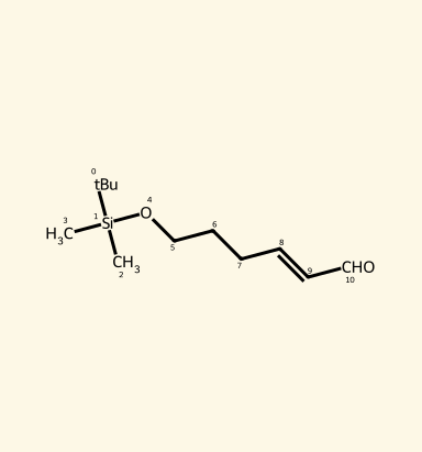 CC(C)(C)[Si](C)(C)OCCC/C=C/C=O